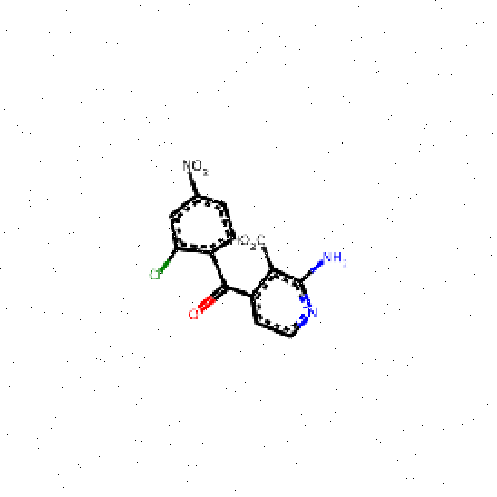 Nc1nccc(C(=O)c2ccc([N+](=O)[O-])cc2Cl)c1C(=O)O